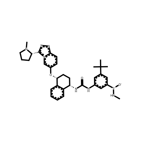 CN[S+]([O-])c1cc(NC(=O)N[C@H]2CC[C@@H](Oc3ccc4nnc([C@@H]5CCCN5C)n4c3)c3ccccc32)cc(C(C)(C)C)c1